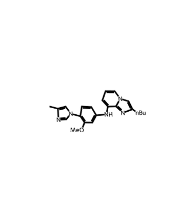 CCCCc1cn2cccc(Nc3ccc(-n4cnc(C)c4)c(OC)c3)c2n1